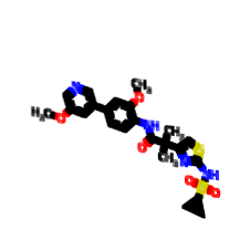 COc1cncc(-c2ccc(NC(=O)C(C)(C)c3csc(NS(=O)(=O)C4CC4)n3)c(OC)c2)c1